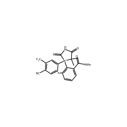 CNC(=O)c1cccc(F)c1[N+]1(c2ccc(C#N)c(C(F)(F)F)c2)C(=S)NC(=O)C1(C)C